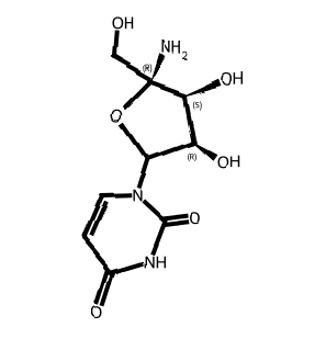 N[C@]1(CO)OC(n2ccc(=O)[nH]c2=O)[C@H](O)[C@@H]1O